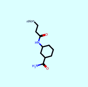 CCCCCCCCCCCC(=O)NC1CCCC(C(N)=O)C1